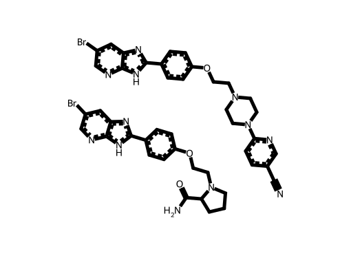 N#Cc1ccc(N2CCN(CCOc3ccc(-c4nc5cc(Br)cnc5[nH]4)cc3)CC2)nc1.NC(=O)C1CCCN1CCOc1ccc(-c2nc3cc(Br)cnc3[nH]2)cc1